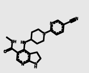 CNC(=O)c1cnc2c(c1NC1CCN(c3ccc(C#N)cn3)CC1)CCN2